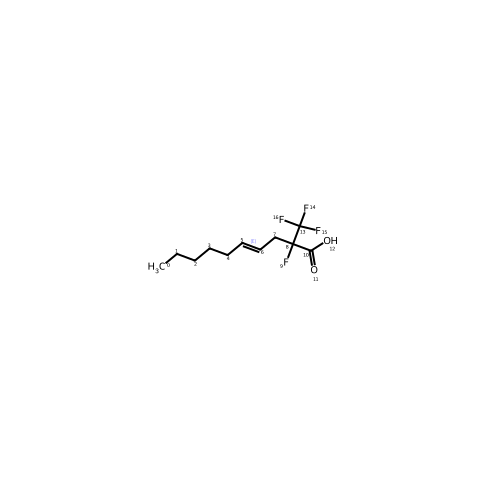 CCCCC/C=C/CC(F)(C(=O)O)C(F)(F)F